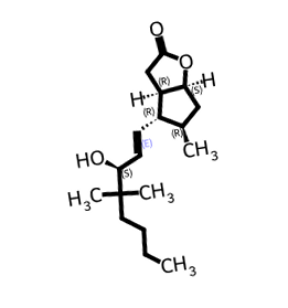 CCCCC(C)(C)[C@@H](O)/C=C/[C@@H]1[C@H]2CC(=O)O[C@H]2C[C@H]1C